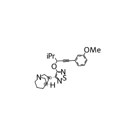 COc1cccc(C#CC(Oc2nsnc2[C@H]2CN3CCC[C@H]2C3)C(C)C)c1